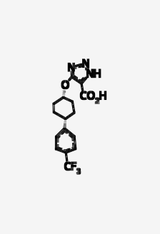 O=C(O)c1[nH]nnc1O[C@H]1CC[C@@H](c2ccc(C(F)(F)F)cc2)CC1